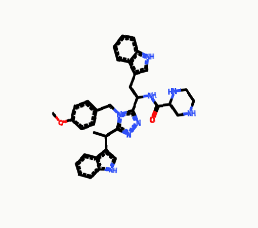 COc1ccc(Cn2c(C(Cc3c[nH]c4ccccc34)NC(=O)C3CNCCN3)nnc2C(C)c2c[nH]c3ccccc23)cc1